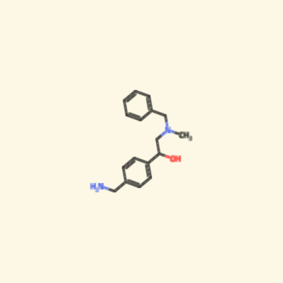 CN(Cc1ccccc1)CC(O)c1ccc(CN)cc1